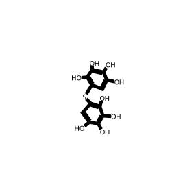 Oc1cc(Sc2cc(O)c(O)c(O)c2O)c(O)c(O)c1O